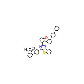 CC1(C)c2ccccc2-c2ccc(-c3nc(-c4cccc5oc6c(-c7ccc(-c8ccccc8)cc7)cccc6c45)nc4c3sc3ccccc34)cc21